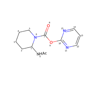 CC(=O)NC1CCCCN1C(=O)Oc1ncccn1